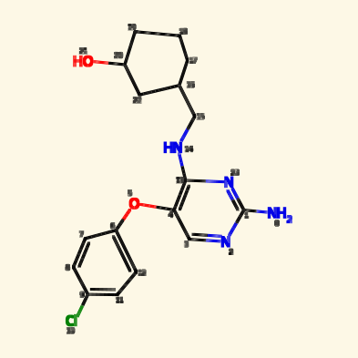 Nc1ncc(Oc2ccc(Cl)cc2)c(NCC2CCCC(O)C2)n1